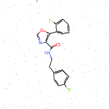 O=C(NCCc1ccc(F)cc1)c1ncoc1-c1ccccc1F